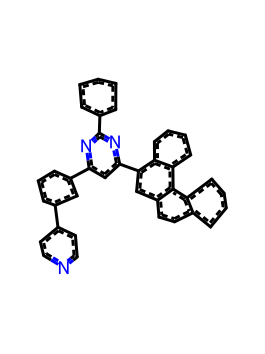 c1ccc(-c2nc(-c3cccc(-c4ccncc4)c3)cc(-c3cc4ccc5ccccc5c4c4ccccc34)n2)cc1